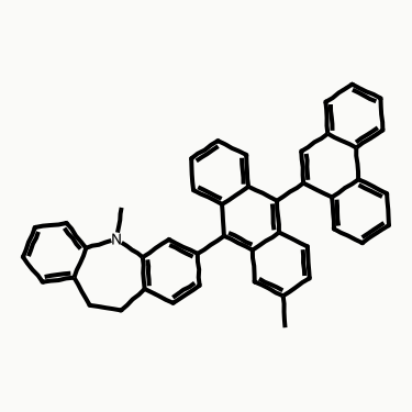 Cc1ccc2c(-c3cc4ccccc4c4ccccc34)c3ccccc3c(-c3ccc4c(c3)N(C)c3ccccc3CC4)c2c1